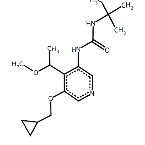 COC(C)c1c(NC(=O)NC(C)(C)C)cncc1OCC1CC1